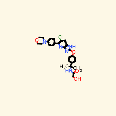 CC(C)(NC(=O)CO)c1ccc(Oc2nc3nc(-c4ccc(N5CCOCC5)cc4)c(Cl)cc3[nH]2)cc1